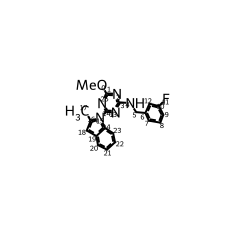 COc1nc(NCc2cccc(F)c2)nc(-n2c(C)cc3ccccc32)n1